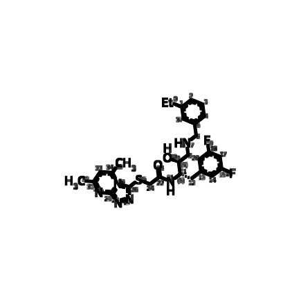 CCc1cccc(CNC[C@H](O)[C@H](Cc2cc(F)cc(F)c2)NC(=O)CSc2nnc3nc(C)cc(C)n23)c1